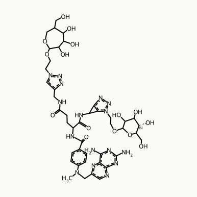 CN(Cc1cnc2nc(N)nc(N)c2n1)c1ccc(C(=O)NC(CCC(=O)NCc2cn(CCOC3OCC(CO)C(O)C(O)C3O)nn2)C(=O)NC2c3nnn(CCOC4OC(CO)[C@@H](O)C(O)C4O)c32)cc1